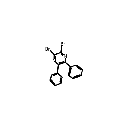 Brc1nc(-c2ccccc2)c(-c2ccccc2)nc1Br